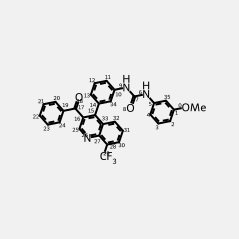 COc1cccc(NC(=O)Nc2cccc(-c3c(C(=O)c4ccccc4)cnc4c(C(F)(F)F)cccc34)c2)c1